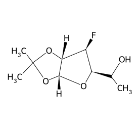 CC(O)[C@H]1O[C@@H]2OC(C)(C)O[C@@H]2[C@H]1F